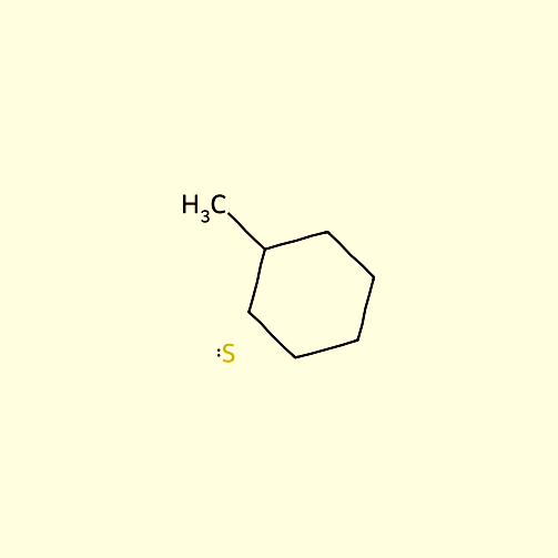 CC1CCCCC1.[S]